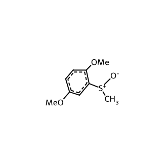 COc1ccc(OC)c([S+](C)[O-])c1